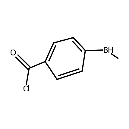 CBc1ccc(C(=O)Cl)cc1